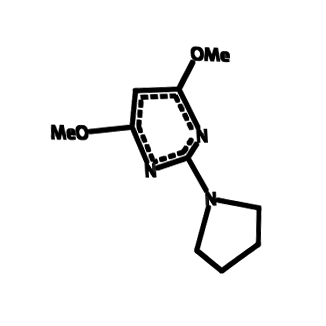 COc1cc(OC)nc(N2CCCC2)n1